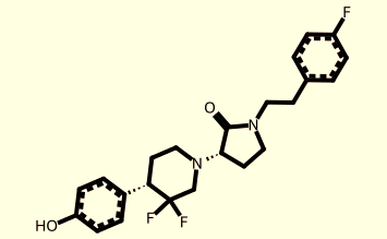 O=C1[C@@H](N2CC[C@@H](c3ccc(O)cc3)C(F)(F)C2)CCN1CCc1ccc(F)cc1